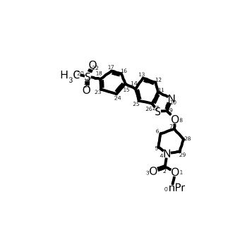 CCCOC(=O)N1CCC(Oc2nc3ccc(-c4ccc(S(C)(=O)=O)cc4)cc3s2)CC1